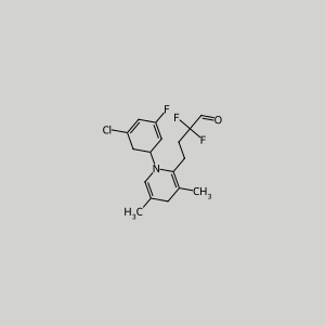 CC1=CN(C2C=C(F)C=C(Cl)C2)C(CCC(F)(F)C=O)=C(C)C1